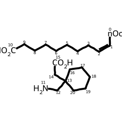 CCCCCCCC/C=C\CCCCCCCC(=O)O.NCC1(CC(=O)O)CCCCC1